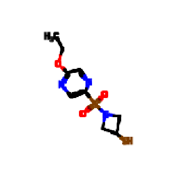 CCOc1cnc(S(=O)(=O)N2CC(S)C2)cn1